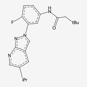 CC(C)c1cnc2nn(-c3cc(NC(=O)CC(C)(C)C)ccc3F)cc2c1